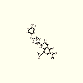 Nc1ccc(CN2CC3CCC2CN3c2nc3c(cc2F)c(=O)c(C(=O)O)cn3C2CC2)cc1